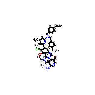 COc1ccc(CN(Cc2ccc(OC)cc2)c2cc(C)c(C(F)(F)F)c(-c3cc4ncnc5c4c(c3Cl)OCCN5[C@H](C)c3cc(Br)cnc3N)n2)cc1